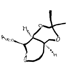 CC(=O)O[C@@H]1OC[C@@H]2OC(C)(C)O[C@H]12